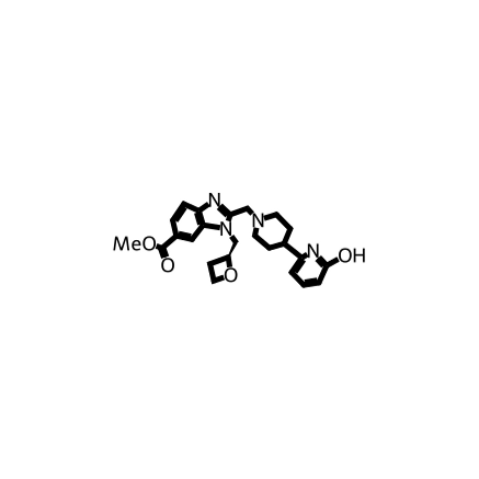 COC(=O)c1ccc2nc(CN3CCC(c4cccc(O)n4)CC3)n(C[C@@H]3CCO3)c2c1